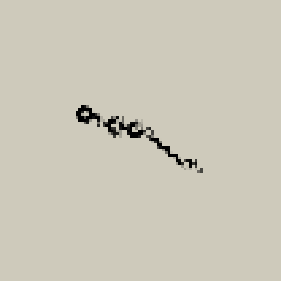 CCCCCCCCOc1ccc(-c2ncc(OCc3ccccc3)cn2)cn1